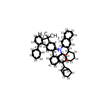 CC1(C)c2cc(N(c3ccc(C4CC5CCC4C5)cc3)c3cc4ccccc4cc3C3CCCCC3)c(-c3ccccc3)cc2-c2c(-c3ccccc3)cccc21